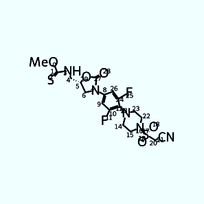 COC(=S)NC[C@H]1CN(c2cc(F)c(N3CCN(S(=O)(=O)CC#N)CC3)c(F)c2)C(=O)O1